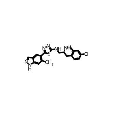 Cc1cc2[nH]ncc2cc1-c1nnc(NC[C@@H](N)Cc2ccc(Cl)cc2Cl)s1